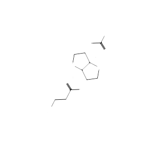 CCC(=O)O[C@H]1CO[C@H]2[C@@H]1OC[C@@H]2OC(=O)CCC(=O)O